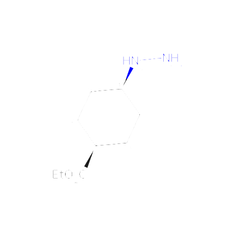 CCOC(=O)[C@H]1CC[C@@H](NN)CC1